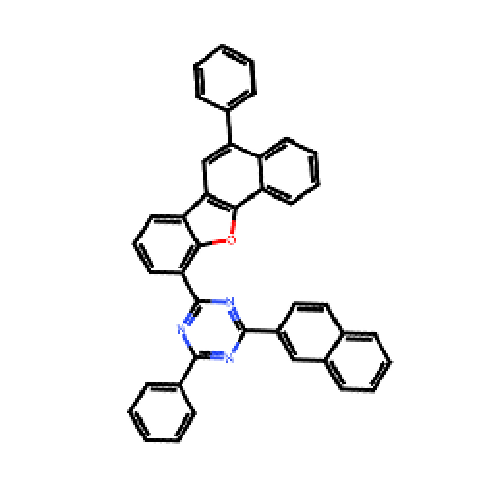 c1ccc(-c2nc(-c3ccc4ccccc4c3)nc(-c3cccc4c3oc3c5ccccc5c(-c5ccccc5)cc43)n2)cc1